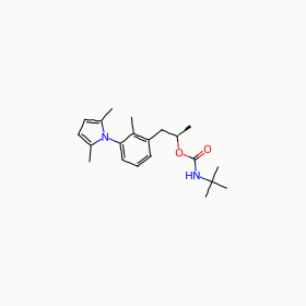 Cc1c(C[C@@H](C)OC(=O)NC(C)(C)C)cccc1-n1c(C)ccc1C